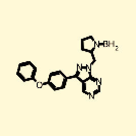 BN1CCCC1Cn1nc(-c2ccc(Oc3ccccc3)cc2)c2cncnc21